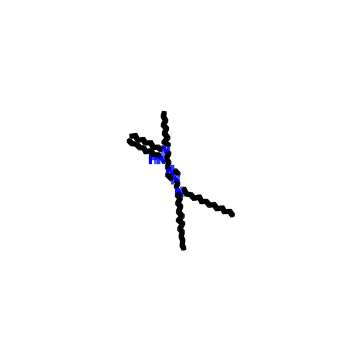 CCCCCCCCCCCCCCN(CCCCCCCCCCCCCC)CCN1CCN(CCC(CN(CCCCCCCCC)CCCCCCCCC)NCCCCCCCCC)CC1